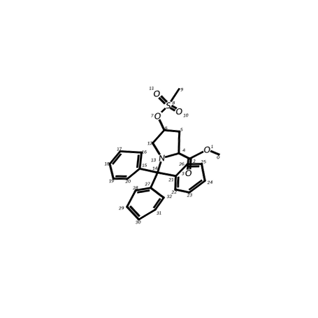 COC(=O)C1CC(OS(C)(=O)=O)CN1C(c1ccccc1)(c1ccccc1)c1ccccc1